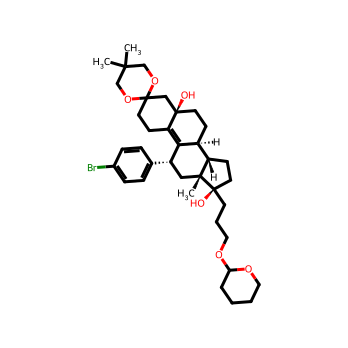 CC1(C)COC2(CCC3=C4[C@@H](CC[C@@]3(O)C2)[C@@H]2CC[C@](O)(CCCOC3CCCCO3)[C@]2(C)C[C@@H]4c2ccc(Br)cc2)OC1